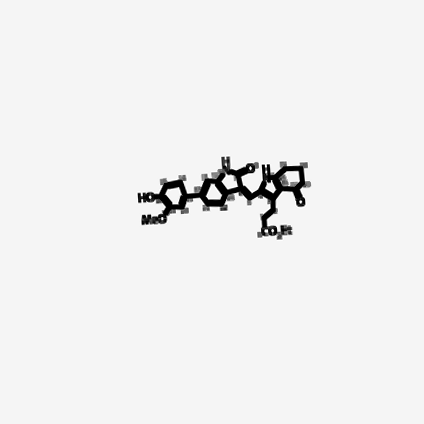 CCOC(=O)CCc1c(C=C2C(=O)Nc3cc(-c4ccc(O)c(OC)c4)ccc32)[nH]c2c1C(=O)CCC2